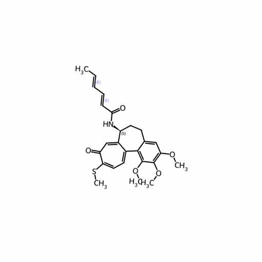 C/C=C/C=C/C(=O)N[C@H]1CCc2cc(OC)c(OC)c(OC)c2-c2ccc(SC)c(=O)cc21